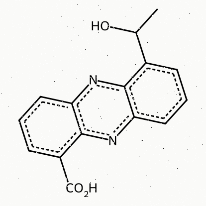 CC(O)c1cccc2nc3c(C(=O)O)cccc3nc12